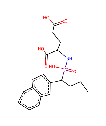 CCCC(c1ccc2ccccc2c1)P(=O)(O)NC(CCC(=O)O)C(=O)O